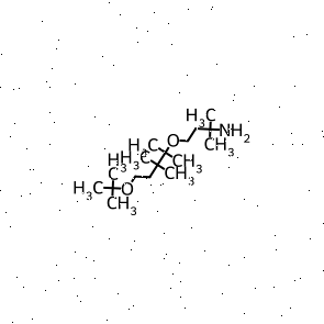 CC(C)(N)CCOC(C)(C)C(C)(C)CCOC(C)(C)C